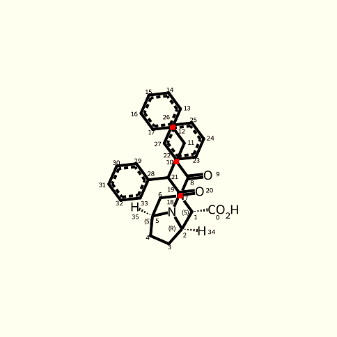 O=C(O)[C@@H]1[C@H]2CC[C@@H](CN1C(=O)CCc1ccccc1)N2C(=O)C(c1ccccc1)c1ccccc1